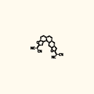 N#CC(C#N)=c1cc2cc3ccc4ccc5oc(=C(C#N)C#N)cc5c4c3cc2o1